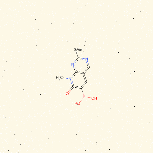 CSc1ncc2cc(B(O)O)c(=O)n(C)c2n1